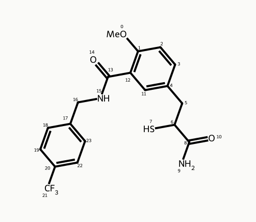 COc1ccc(CC(S)C(N)=O)cc1C(=O)NCc1ccc(C(F)(F)F)cc1